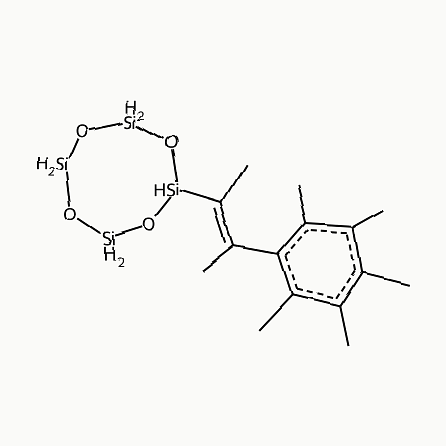 CC(=C(C)[SiH]1O[SiH2]O[SiH2]O[SiH2]O1)c1c(C)c(C)c(C)c(C)c1C